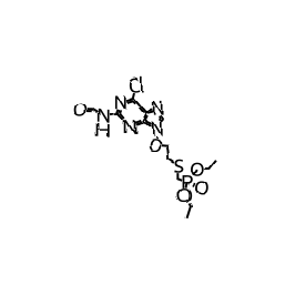 CCOP(=O)(CSCCOn1cnc2c(Cl)nc(NC=O)nc21)OCC